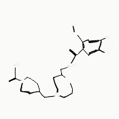 CCOc1cc(N)c(Cl)cc1C(=O)NCC1CN(CC2CCN(C(N)=O)CC2)CCO1